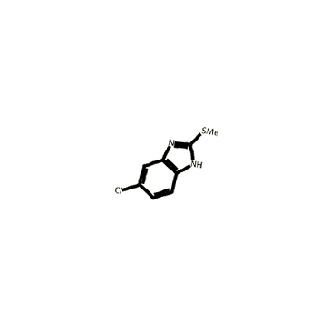 CSc1nc2cc(Cl)ccc2[nH]1